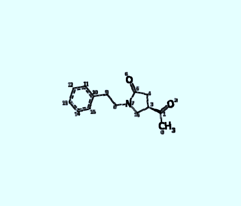 CC(=O)[C@@H]1CC(=O)N(CCc2ccccc2)C1